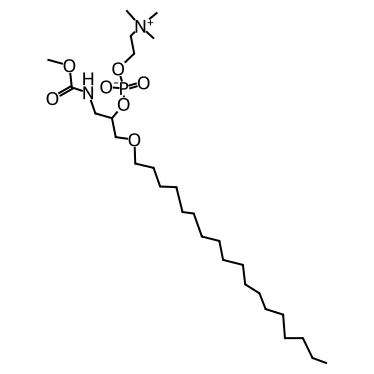 CCCCCCCCCCCCCCCCCCOCC(CNC(=O)OC)OP(=O)([O-])OCC[N+](C)(C)C